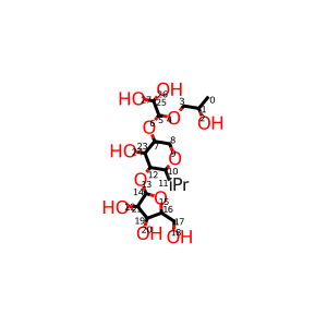 CC(O)COC(OC1COC(C(C)C)C(OC2OC(CO)C(O)C2O)C1O)C(O)O